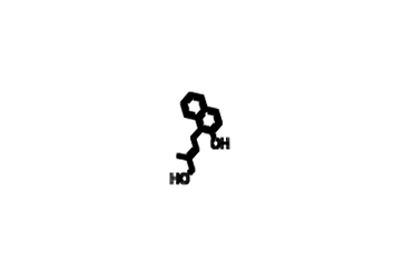 C/C(=C\Cc1c(O)ccc2ccccc12)CO